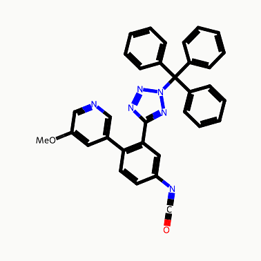 COc1cncc(-c2ccc(N=C=O)cc2-c2nnn(C(c3ccccc3)(c3ccccc3)c3ccccc3)n2)c1